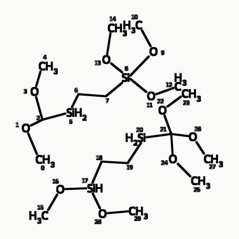 COC(OC)[SiH2]CC[Si](OC)(OC)OC.CO[SiH](CC[SiH2]C(OC)(OC)OC)OC